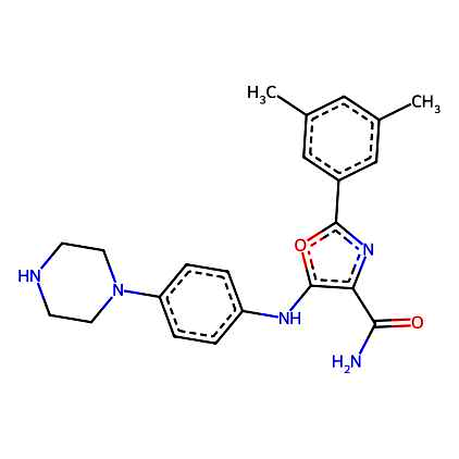 Cc1cc(C)cc(-c2nc(C(N)=O)c(Nc3ccc(N4CCNCC4)cc3)o2)c1